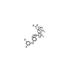 CN(C[C@](C)(O)CC(F)F)C(=O)Nc1ccc(Oc2cc(F)cc(F)c2)cn1